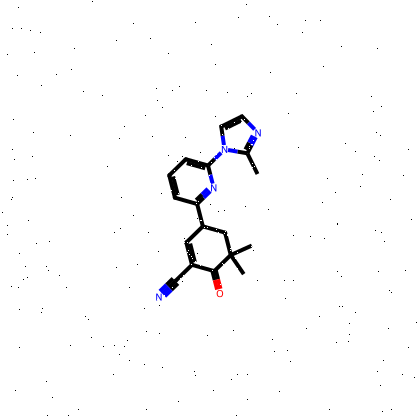 Cc1nccn1-c1cccc(C2C=C(C#N)C(=O)C(C)(C)C2)n1